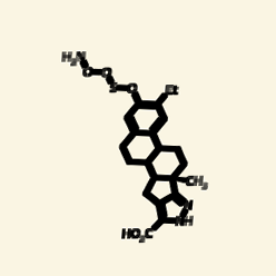 CCc1cc2c(cc1OSOON)CCC1C2CC[C@]2(C)c3n[nH]c(C(=O)O)c3CC12